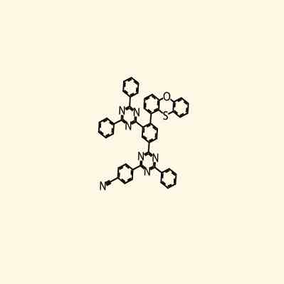 N#Cc1ccc(-c2nc(-c3ccccc3)nc(-c3ccc(-c4cccc5c4Sc4ccccc4O5)c(-c4nc(-c5ccccc5)nc(-c5ccccc5)n4)c3)n2)cc1